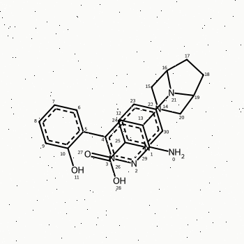 Nc1nnc(-c2ccccc2O)cc1N1CC2CCC(C1)N2c1ccc(C(=O)O)nc1